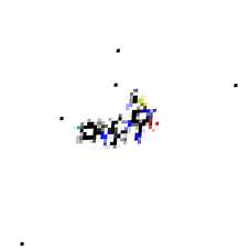 Cc1nc2c(N3CC[C@H]4[C@H](CCN4c4ccc(F)cc4)C3)c(C#N)c(=O)n(C)c2s1